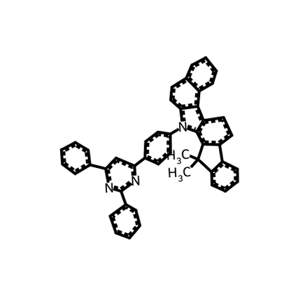 CC1(C)c2ccccc2-c2ccc3c4c5ccccc5ccc4n(-c4ccc(-c5cc(-c6ccccc6)nc(-c6ccccc6)n5)cc4)c3c21